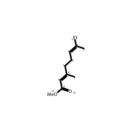 CCC(C)=CCC/C(C)=C/C(=O)OC